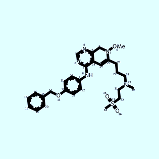 CON1Cc2ncnc(Nc3ccc(OCc4ccccc4)cc3)c2C=C1CCCN(C)CCS(C)(=O)=O